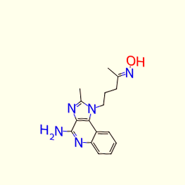 C/C(CCCn1c(C)nc2c(N)nc3ccccc3c21)=N\O